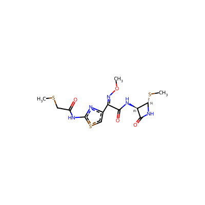 CON=C(C(=O)N[C@@H]1C(=O)N[C@H]1SC)c1csc(NC(=O)CSC)n1